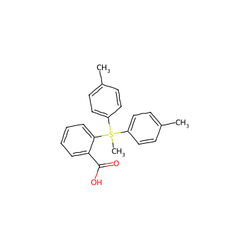 Cc1ccc(S(C)(c2ccc(C)cc2)c2ccccc2C(=O)O)cc1